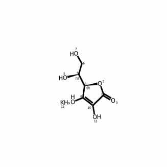 O=C1O[C@H]([C@@H](O)CO)C(O)=C1O.[KH]